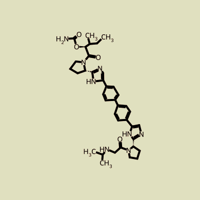 CCC(C)[C@H](OC(N)=O)C(=O)N1CCC[C@H]1c1ncc(-c2ccc(-c3ccc(-c4cnc([C@@H]5CCCN5C(=O)CNC(C)C)[nH]4)cc3)cc2)[nH]1